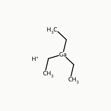 C[CH2][Ga]([CH2]C)[CH2]C.[H+]